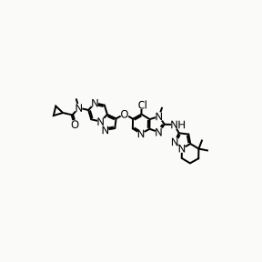 CN(C(=O)C1CC1)c1cn2ncc(Oc3cnc4nc(Nc5cc6n(n5)CCCC6(C)C)n(C)c4c3Cl)c2cn1